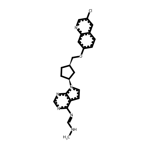 CN/C=N/c1ncnc2c1ccn2[C@H]1CC[C@@H](COc2ccc3cc(Cl)cnc3c2)C1